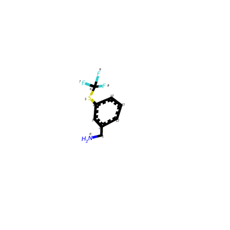 NCc1[c]c(SC(F)(F)F)ccc1